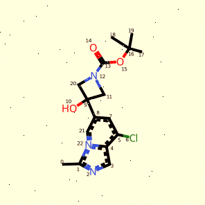 Cc1ncc2c(Cl)cc(C3(O)CN(C(=O)OC(C)(C)C)C3)cn12